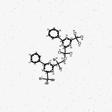 BrC(Br)(Br)c1nc(-c2ccccc2)nc(C(Br)(Br)Br)n1.ClC(Cl)(Cl)c1nc(-c2ccccc2)nc(C(Cl)(Cl)Cl)n1